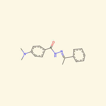 C/C(=N\NC(=O)c1ccc(N(C)C)cc1)c1ccccc1